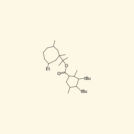 CCC1CCCC(C)CC(C)(C(C)(C)OC(=O)C2CC(C)C(C(C)(C)C)C(C(C)(C)C)C2C)C1